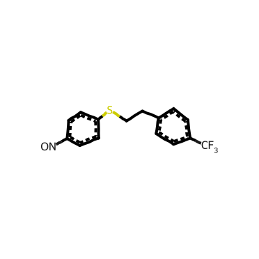 O=Nc1ccc(SCCc2ccc(C(F)(F)F)cc2)cc1